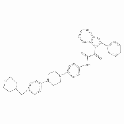 O=C(Nc1ccc(N2CCN(c3ccc(CN4CCOCC4)cc3)CC2)cc1)C(=O)c1c(-c2ccccc2)cc2ccccn12